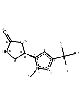 Cn1nc(C(F)(F)F)cc1[C@H]1CNC(=O)O1